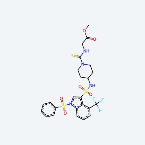 COC(=O)CNC(=S)N1CCC(NS(=O)(=O)c2cn(S(=O)(=O)c3ccccc3)c3cccc(C(F)(F)F)c23)CC1